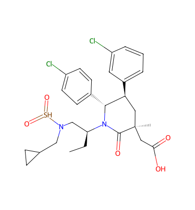 CC[C@@H](CN(CC1CC1)[SH](=O)=O)N1C(=O)[C@](C)(CC(=O)O)C[C@H](c2cccc(Cl)c2)[C@H]1c1ccc(Cl)cc1